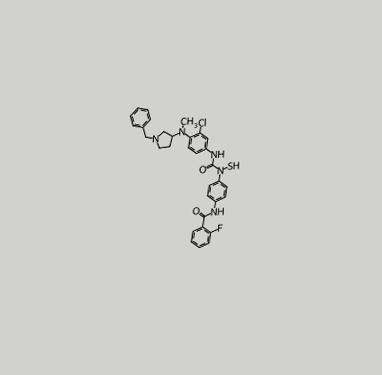 CN(c1ccc(NC(=O)N(S)c2ccc(NC(=O)c3ccccc3F)cc2)cc1Cl)C1CCN(Cc2ccccc2)C1